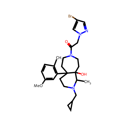 COc1ccc(C)c(C23CCN(C(=O)Cn4cc(Br)cn4)CCC2(O)C(C)N(CC2CC2)CC3)c1